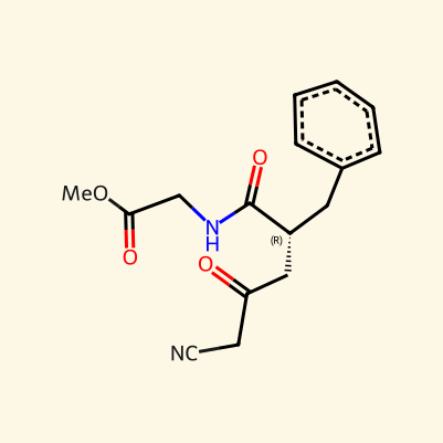 COC(=O)CNC(=O)[C@@H](CC(=O)CC#N)Cc1ccccc1